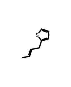 CC=CCc1cccs1